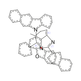 CC1C/C=C(c2c(-n3c4ccccc4c4cc5ccccc5cc43)ccc3oc4ccccc4c23)/N=C(c2ccc3ccccc3c2)\N=C/1c1ccccc1